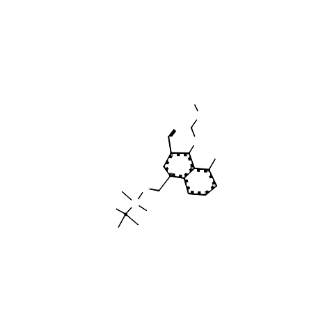 COCOc1c(C=O)cc(CO[Si](C)(C)C(C)(C)C)c2cccc(C)c12